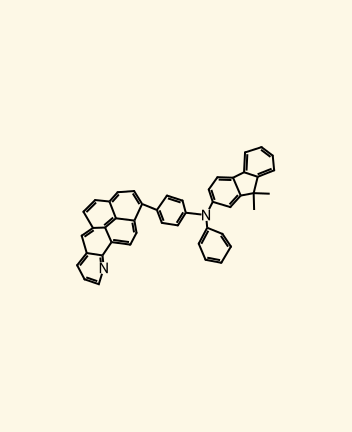 CC1(C)c2ccccc2-c2ccc(N(c3ccccc3)c3ccc(-c4ccc5ccc6cc7cccnc7c7ccc4c5c67)cc3)cc21